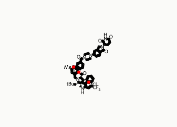 COc1cc(C(=O)N2CCN(c3ccc4c(c3)CN(C3CCC(=O)NC3=O)C4=O)CC2)ccc1NC(=O)[C@H]1[C@H](c2cccc(Cl)c2F)[C@]2(CNc3cc(C(F)(F)F)ncc32)[C@H](CC(C)(C)C)N1Cc1ccccc1